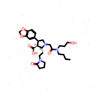 CCCCN(CCCO)C(=O)CN1CC(c2ccc3c(c2)OCO3)[C@H](C(=O)O)[C@H]1CCN1CCCC1=O